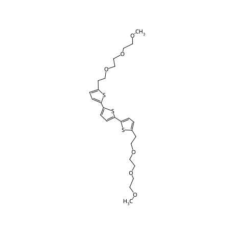 COCCOCCOCCc1ccc(-c2ccc(-c3ccc(CCOCCOCCOC)s3)s2)s1